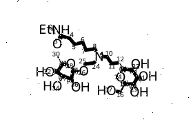 CCNC(=O)CCCCCN(CCC[C@H]1O[C@H](CO)[C@@H](O)[C@H](O)[C@@H]1O)CCO[C@@H]1O[C@@H](C)[C@@H](O)[C@@H](O)[C@@H]1O